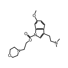 COc1ccc2c(CCN(C)C)cn(C(=O)OCCN3CCOCC3)c2c1